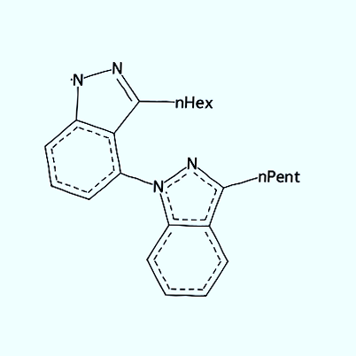 CCCCCCC1=N[N]c2cccc(-n3nc(CCCCC)c4ccccc43)c21